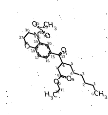 CCCCCCC(CC(=O)OCC)C(=O)c1ccc2c(c1)N(S(C)(=O)=O)CCO2